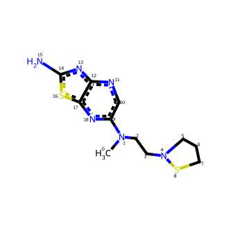 CN(CCN1CCCS1)c1cnc2nc(N)sc2n1